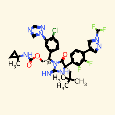 CC(C)(C)C[C@]1(c2ccc(-c3cnn(C(F)F)c3)c(F)c2F)NC(=N)N([C@H](COC(=O)NC2(C)CC2)c2ccc(Cl)c(-n3cncn3)c2)C1=O